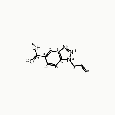 C=CCn1nnc2cc(C(=O)O)ccc21